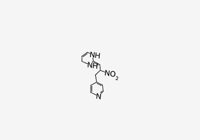 O=[N+]([O-])C(C=C1NC=CCN1)Cc1ccncc1